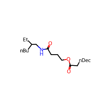 CCCCCCCCCCCC(=O)OCCCC(=O)NCC(CC)CCCC